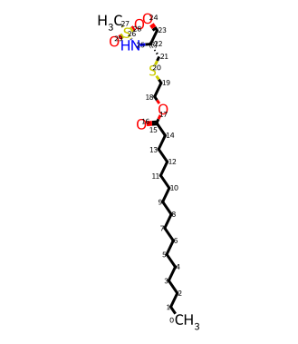 CCCCCCCCCCCCCCCC(=O)OCCSC[C@@H](C=O)NS(C)(=O)=O